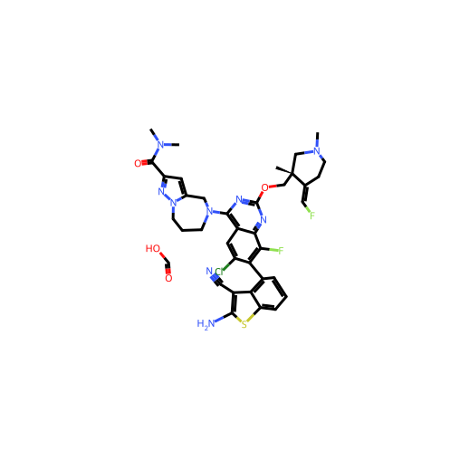 CN1CC/C(=C\F)[C@](C)(COc2nc(N3CCCn4nc(C(=O)N(C)C)cc4C3)c3cc(Cl)c(-c4cccc5sc(N)c(C#N)c45)c(F)c3n2)C1.O=CO